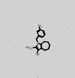 N#Cc1c2c(n(Cc3cccc(C(F)(F)F)c3)c1C(=O)O)CCCCC2